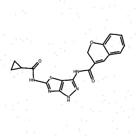 O=C(Nc1n[nH]c2nc(NC(=O)C3CC3)sc12)C1=Cc2ccccc2OC1